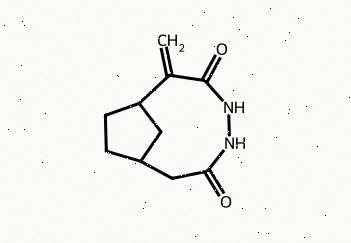 C=C1C(=O)NNC(=O)CC2CCC1C2